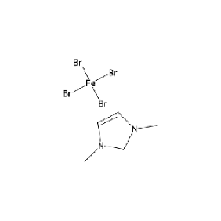 CN1C=CN(C)C1.[Br][Fe]([Br])([Br])[Br]